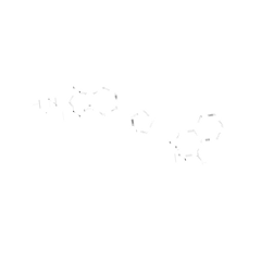 Nc1nc2ccc(-c3cc(Cc4n[nH]c(=O)c5ccccc45)co3)cc2[nH]1